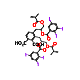 C=C(C)C(=O)OCC(Cc1ccc(C(=O)O)c(C(=O)O)c1CC(COC(=O)C(=C)C)OC(=O)c1cc(I)cc(I)c1I)OC(=O)c1cc(I)cc(I)c1I